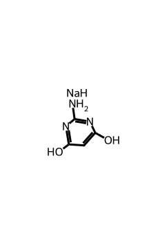 Nc1nc(O)cc(O)n1.[NaH]